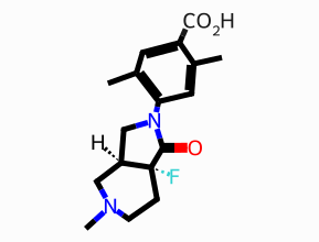 Cc1cc(N2C[C@@H]3CN(C)CC[C@]3(F)C2=O)c(C)cc1C(=O)O